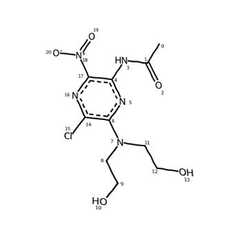 CC(=O)Nc1nc(N(CCO)CCO)c(Cl)nc1[N+](=O)[O-]